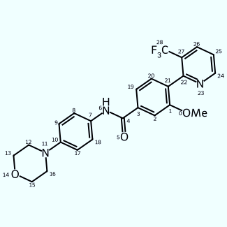 COc1cc(C(=O)Nc2ccc(N3CCOCC3)cc2)ccc1-c1ncccc1C(F)(F)F